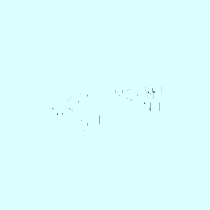 CC(C)N(C(=O)c1ccc(OCCCCCOc2ccc(/C(N)=N\O)cc2)cc1OC(C)(C)C(=O)O)C(C)C